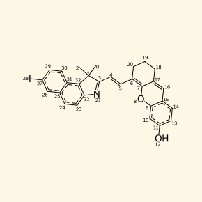 CC1(C)C(C=CC2=C3Oc4cc(O)ccc4C=C3CCC2)=Nc2ccc3cc(I)ccc3c21